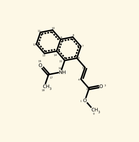 COC(=O)C=Cc1ccc2ccccc2c1NC(C)=O